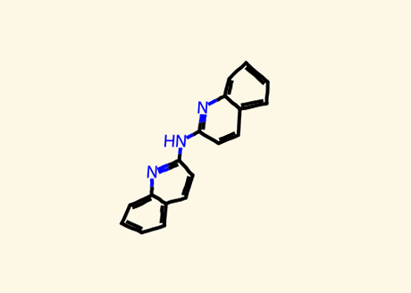 c1ccc2nc(Nc3ccc4ccccc4n3)ccc2c1